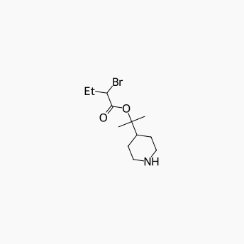 CCC(Br)C(=O)OC(C)(C)C1CCNCC1